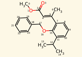 COC(=O)C=C(C)c1cccc(C(C)C)c1OCc1ccccc1